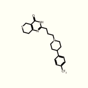 O=c1[nH]c(CCCN2CCC(c3ccc(C(F)(F)F)cc3)CC2)nc2c1CSCC2